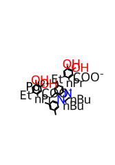 CCCCC(=Nc1cc(C)cc(C)c1)C(CCCC)=Nc1cc(C)cc(C)c1.CCCc1c(CC)cc(O)c(O)c1C(=O)[O-].CCCc1c(CC)cc(O)c(O)c1C(=O)[O-].[Pd+2]